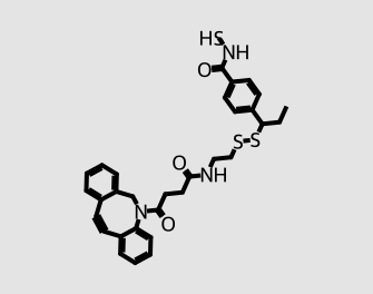 CCC(SSCCNC(=O)CCC(=O)N1Cc2ccccc2C#Cc2ccccc21)c1ccc(C(=O)NS)cc1